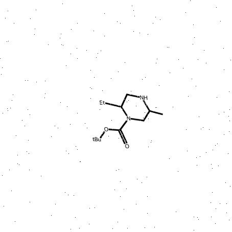 CCC1CNC(C)CN1C(=O)OC(C)(C)C